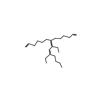 C=CCCCCC(CCCCC=C)=C(C=C(CC)CCCC)CC